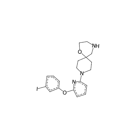 Ic1cccc(Oc2cccc(N3CCC4(CC3)CNCCO4)n2)c1